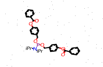 CC(C)N(C(C)C)P(OCc1ccc(OC(=O)c2ccccc2)cc1)OCc1ccc(OC(=O)c2ccccc2)cc1